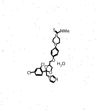 CNC(=S)N1CCN(c2ccc(OCC3COC(Cn4ccnc4)(c4ccc(Cl)cc4Cl)O3)cc2)CC1.O